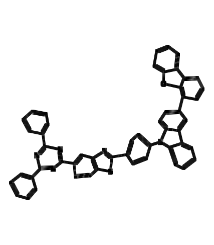 c1ccc(-c2nc(-c3ccccc3)nc(-c3ccc4sc(-c5ccc(-n6c7ccccc7c7cc(-c8cccc9c8oc8ccccc89)ccc76)cc5)nc4c3)n2)cc1